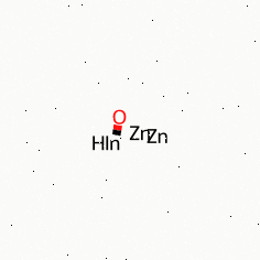 [O]=[InH].[Zn].[Zn]